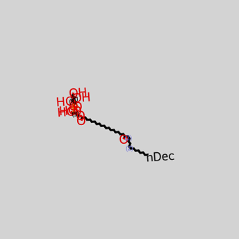 CCCCCCCCCCCCCCCCC/C=C\CC/C=C\C(=O)CCCCCCCCCCCCCCCCCC(=O)OC[C@H](CO)OP(=O)(O)OC[C@@H](O)[C@H](O)CO